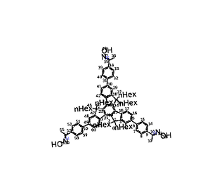 CCCCCCC1(CCCCCC)c2cc(-c3ccc(/C(C)=N/O)cc3)ccc2-c2c1c1c(c3c2C(CCCCCC)(CCCCCC)c2cc(-c4ccc(/C(C)=N/O)cc4)ccc2-3)C(CCCCCC)(CCCCCC)c2cc(-c3ccc(/C(C)=N/O)cc3)ccc2-1